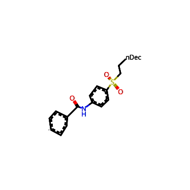 CCCCCCCCCCCCS(=O)(=O)c1ccc(NC(=O)c2cc[c]cc2)cc1